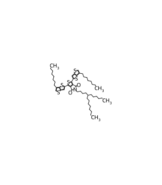 CCCCCCCCc1csc2cc(-c3sc(-c4cc5scc(CCCCCCCC)c5s4)c4c3C(=O)N(CCCCC(CCCCCC)CCCCCCCC)C4=O)sc12